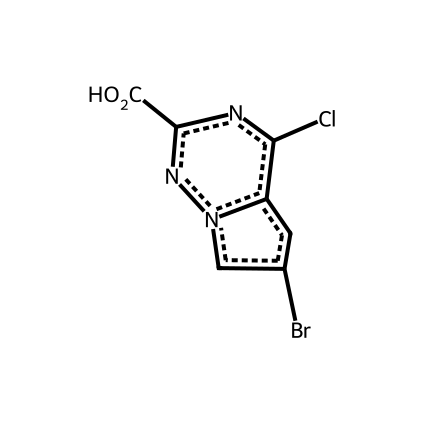 O=C(O)c1nc(Cl)c2cc(Br)cn2n1